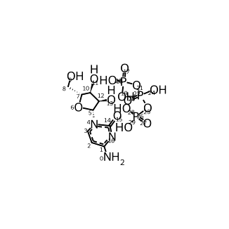 Nc1ccn([C@@H]2O[C@H](CO)[C@@H](O)[C@H]2O)c(=O)n1.O=P(O)(O)OP(=O)(O)OP(=O)(O)O